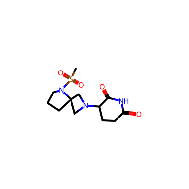 CS(=O)(=O)N1CCCC12CN(C1CCC(=O)NC1=O)C2